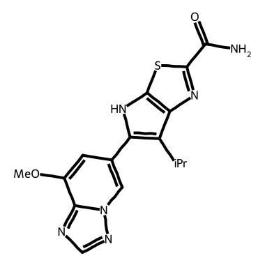 COc1cc(-c2[nH]c3sc(C(N)=O)nc3c2C(C)C)cn2ncnc12